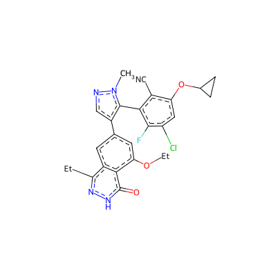 CCOc1cc(-c2cnn(C)c2-c2c(F)c(Cl)cc(OC3CC3)c2C#N)cc2c(CC)n[nH]c(=O)c12